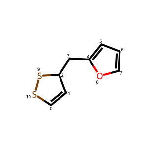 C1=CC(Cc2ccco2)SS1